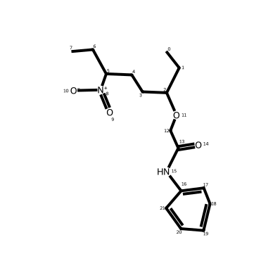 CCC(CCC(CC)[N+](=O)[O-])OCC(=O)Nc1ccccc1